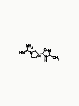 CC1=NOC([C@@H]2CCN(C(=N)N)C2)N1